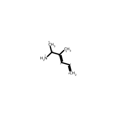 C=C/C=C(\C)C(C)N